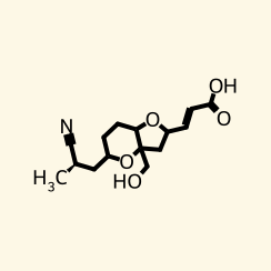 C[C@@H](C#N)CC1CCC2OC(/C=C/C(=O)O)CC2(CO)O1